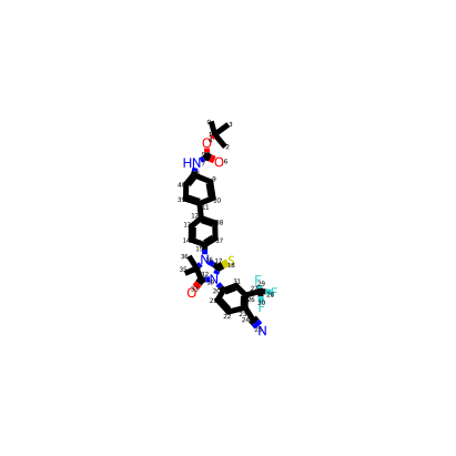 CC(C)(C)OC(=O)Nc1ccc(-c2ccc(N3C(=S)N(c4ccc(C#N)c(C(F)(F)F)c4)C(=O)C3(C)C)cc2)cc1